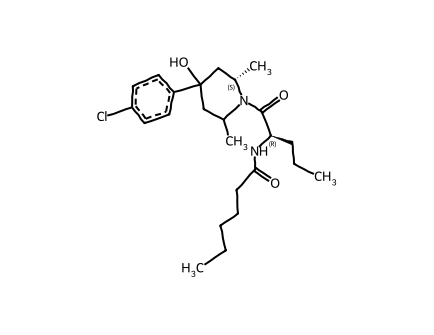 CCCCCC(=O)N[C@H](CCC)C(=O)N1C(C)CC(O)(c2ccc(Cl)cc2)C[C@@H]1C